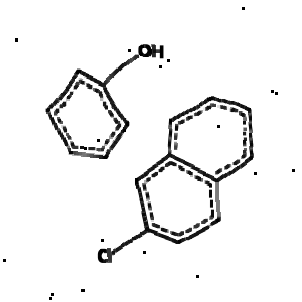 Clc1ccc2ccccc2c1.Oc1ccccc1